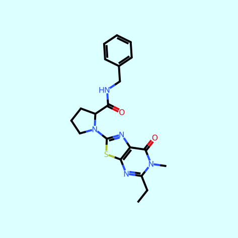 CCc1nc2sc(N3CCCC3C(=O)NCc3ccccc3)nc2c(=O)n1C